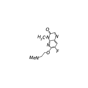 CNCCOc1nc2c(cc1F)ncc(=O)n2C